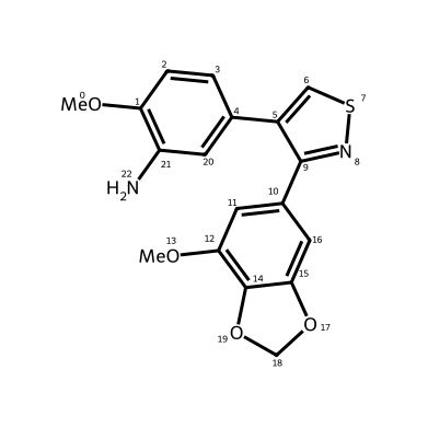 COc1ccc(-c2csnc2-c2cc(OC)c3c(c2)OCO3)cc1N